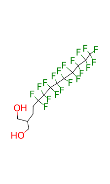 OCC(CO)CCC(F)(F)C(F)(F)C(F)(F)C(F)(F)C(F)(F)C(F)(F)C(F)(F)C(F)(F)C(F)(F)F